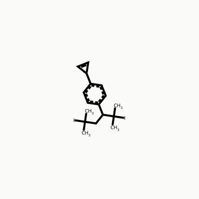 CC(C)(I)CC(c1ccc(C2C=C2)cc1)C(C)(C)I